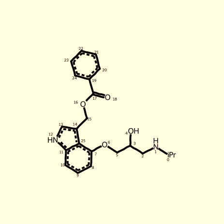 CC(C)NCC(O)COc1cccc2[nH]cc(COC(=O)c3ccccc3)c12